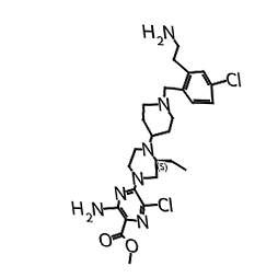 CC[C@H]1CN(c2nc(N)c(C(=O)OC)nc2Cl)CCN1C1CCN(Cc2ccc(Cl)cc2CCN)CC1